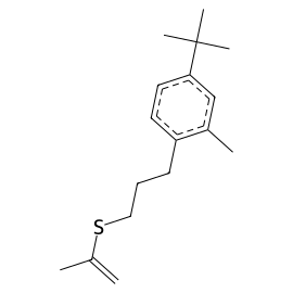 C=C(C)SCCCc1ccc(C(C)(C)C)cc1C